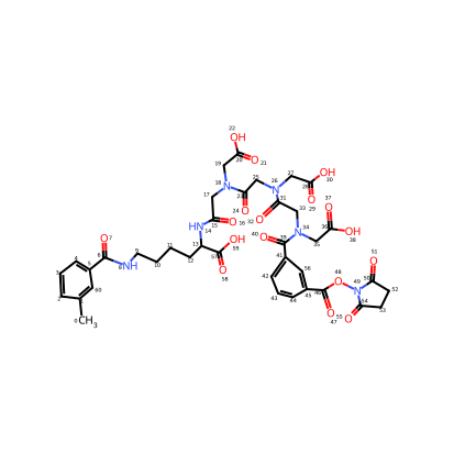 Cc1cccc(C(=O)NCCCCC(NC(=O)CN(CC(=O)O)C(=O)CN(CC(=O)O)C(=O)CN(CC(=O)O)C(=O)c2cccc(C(=O)ON3C(=O)CCC3=O)c2)C(=O)O)c1